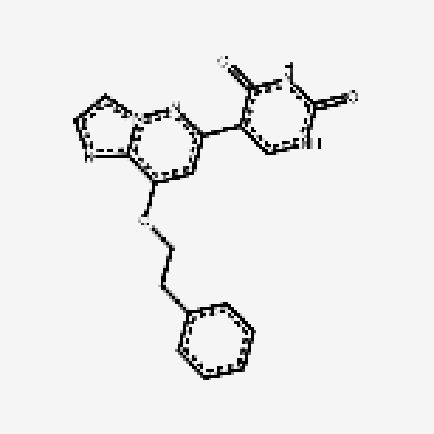 O=c1[nH]cc(-c2cc(OCCc3ccccc3)c3nccn3n2)c(=O)[nH]1